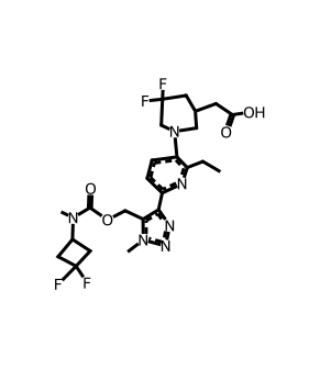 CCc1nc(-c2nnn(C)c2COC(=O)N(C)C2CC(F)(F)C2)ccc1N1CC(CC(=O)O)CC(F)(F)C1